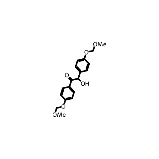 COCOc1ccc(C(=O)C(O)c2ccc(OCOC)cc2)cc1